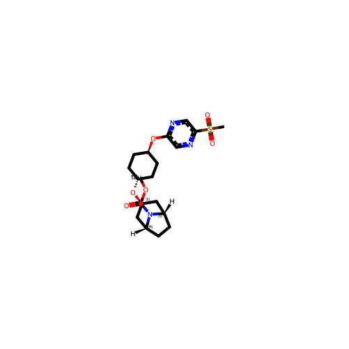 CC(C)(C)OC(=O)N1[C@@H]2CC[C@H]1C[C@H](O[C@H]1CC[C@H](Oc3cnc(S(C)(=O)=O)cn3)CC1)C2